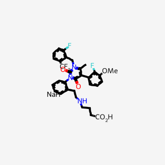 COc1cccc(-c2c(C)n(Cc3c(F)cccc3C(F)(F)F)c(=O)n(-c3ccccc3CCNCCCC(=O)O)c2=O)c1F.[NaH]